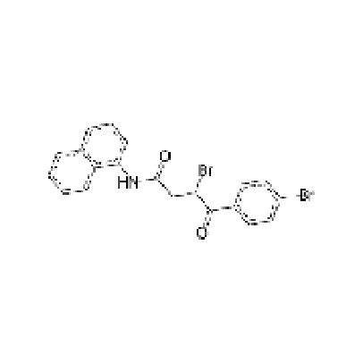 O=C(CC(Br)C(=O)c1ccc(Br)cc1)Nc1cccc2ccccc12